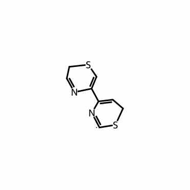 [C]1=NC(C2=CSCC=N2)=CCS1